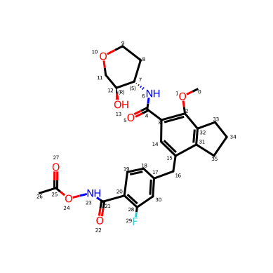 COc1c(C(=O)N[C@H]2CCOC[C@@H]2O)cc(Cc2ccc(C(=O)NOC(C)=O)c(F)c2)c2c1CCC2